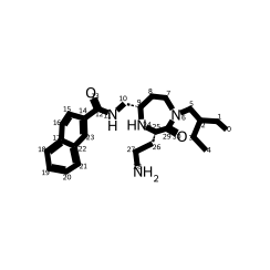 CCC(CC)CN1CC[C@@H](CNC(=O)c2ccc3ccccc3c2)N[C@@H](CCN)C1=O